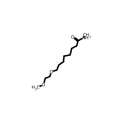 CNC(=O)CCCCCCCOCCOC